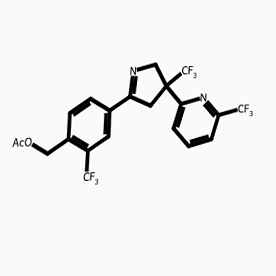 CC(=O)OCc1ccc(C2=NCC(c3cccc(C(F)(F)F)n3)(C(F)(F)F)C2)cc1C(F)(F)F